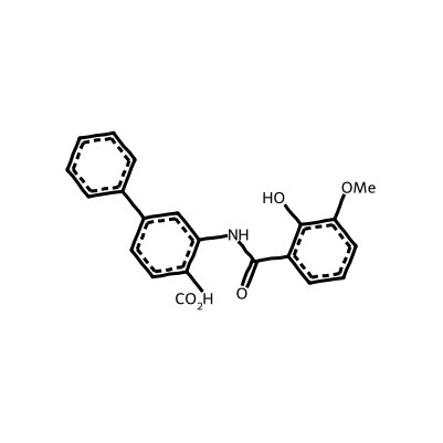 COc1cccc(C(=O)Nc2cc(-c3ccccc3)ccc2C(=O)O)c1O